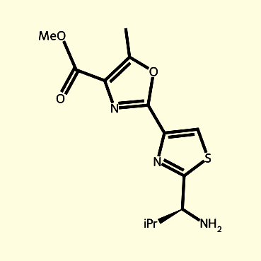 COC(=O)c1nc(-c2csc([C@@H](N)C(C)C)n2)oc1C